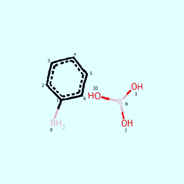 Bc1ccccc1.OB(O)O